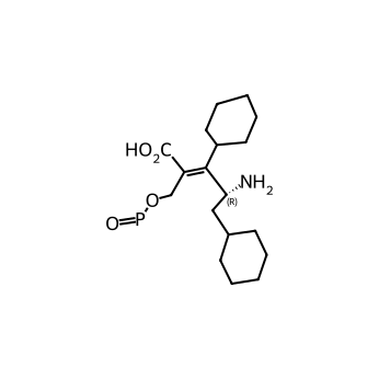 N[C@H](CC1CCCCC1)C(=C(COP=O)C(=O)O)C1CCCCC1